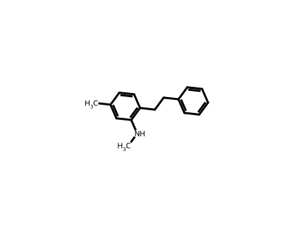 CNc1cc(C)ccc1CCc1ccccc1